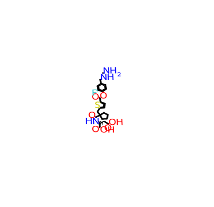 NCNCc1ccc(OC(=O)c2ccc(CC3(C(=O)N[C@@H](CC(=O)O)C(=O)O)CCCC3)s2)c(F)c1